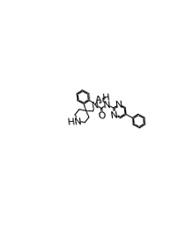 CC(=O)[N+]1(C(=O)Nc2ncc(-c3ccccc3)cn2)CC2(CCNCC2)c2ccccc21